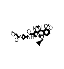 COCC(=O)N1CC(NC(=O)c2c[nH]c3c(-c4c(OCC5CC5)ccc5c4OCO5)ncnc23)C1